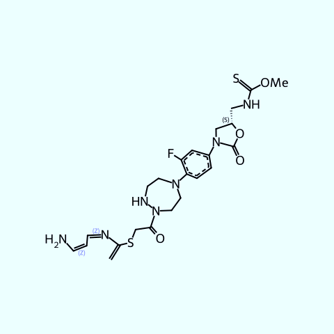 C=C(/N=C\C=C/N)SCC(=O)N1CCN(c2ccc(N3C[C@H](CNC(=S)OC)OC3=O)cc2F)CCN1